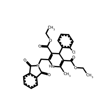 CCOC(=O)C1=C(C)NC(CN2C(=O)c3ccccc3C2=O)=C(C(=O)OCC)C1c1ccccc1Cl